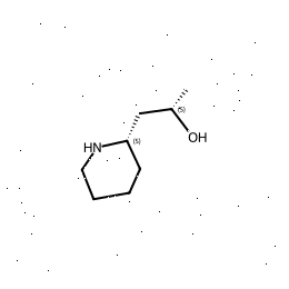 C[C@H](O)C[C@@H]1CCCCN1